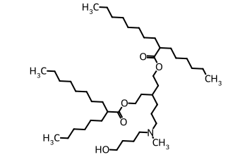 CCCCCCCCC(CCCCCC)C(=O)OCCC(CCCN(C)CCCCO)CCOC(=O)C(CCCCCC)CCCCCCCC